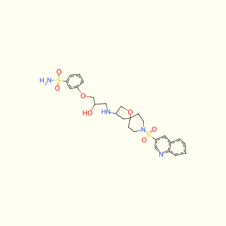 NS(=O)(=O)c1cccc(OCC(O)CNC2COC3(CCN(S(=O)(=O)c4cnc5ccccc5c4)CC3)C2)c1